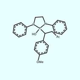 COc1ccc(C(CC(C)=O)[P]2(O)N(c3ccccc3)CCN2c2ccccc2)cc1